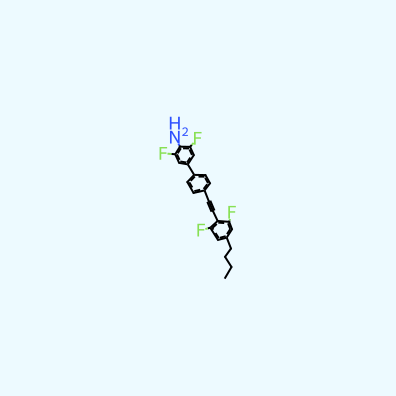 CCCCc1cc(F)c(C#Cc2ccc(-c3cc(F)c(N)c(F)c3)cc2)c(F)c1